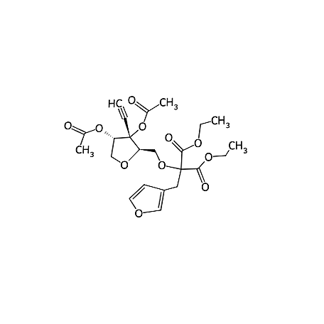 C#C[C@]1(OC(C)=O)[C@@H](OC(C)=O)CO[C@@H]1COC(Cc1ccoc1)(C(=O)OCC)C(=O)OCC